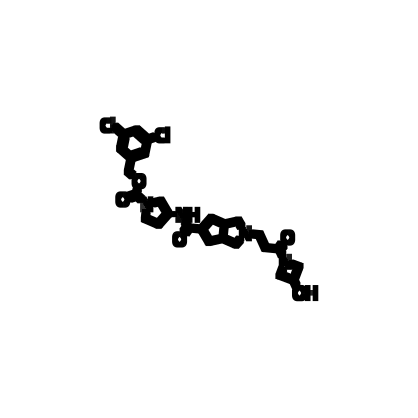 O=C(N[C@@H]1CCN(C(=O)OCc2cc(Cl)cc(Cl)c2)C1)C1CC2CN(CCC(=O)N3CC(O)C3)CC2C1